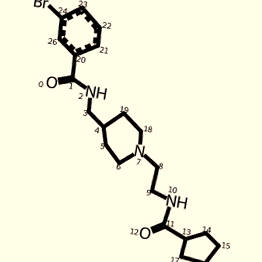 O=C(NCC1CCN(CCNC(=O)C2CCCC2)CC1)c1cccc(Br)c1